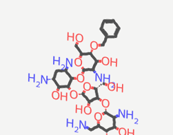 NCC1O[C@H](OC2C(O)[C@H](OC3C(OC4OC(CO)[C@@H](OCc5ccccc5)C(O)C4N)C(N)C[C@@H](N)C3O)O[C@@H]2CO)C(N)C(O)[C@@H]1O